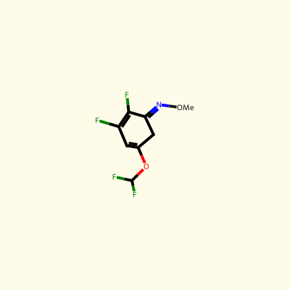 CON=C1CC(OC(F)F)=[C]C(F)=C1F